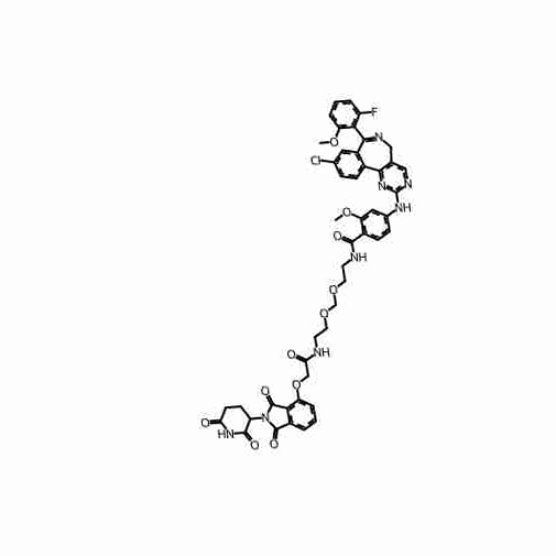 COc1cc(Nc2ncc3c(n2)-c2ccc(Cl)cc2C(c2c(F)cccc2OC)=NC3)ccc1C(=O)NCCOCOCCNC(=O)COc1cccc2c1C(=O)N(C1CCC(=O)NC1=O)C2=O